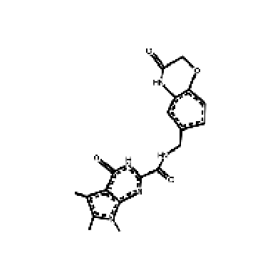 Cc1c(C)n(C)c2nc(C(=O)NCc3ccc4c(c3)NC(=O)CO4)[nH]c(=O)c12